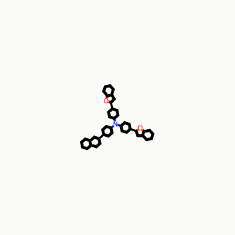 c1ccc2cc(-c3ccc(N(c4ccc(-c5cc6ccccc6o5)cc4)c4ccc(-c5cc6ccccc6o5)cc4)cc3)ccc2c1